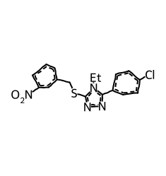 CCn1c(SCc2cccc([N+](=O)[O-])c2)nnc1-c1ccc(Cl)cc1